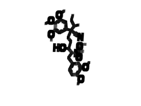 CCC(C)C(C#N)(CCC(O)C(Cc1ccc(OC)c(OC)c1)[N+](=O)[O-])c1cc(OC)c(OC)c(OC)c1